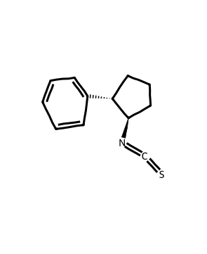 S=C=N[C@@H]1CCC[C@H]1c1ccccc1